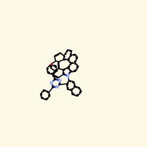 C1=CC2C=CC3C=Cc4c5c6c7c(ccc8ccc1c(c87)C2=C53)ccc6n4-c1cc2ccccc2cc1-c1nc(-c2ccccc2)nc(-c2ccccc2)n1